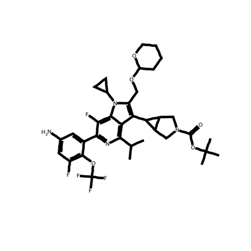 CC(C)c1nc(-c2cc(N)cc(F)c2OC(F)(F)F)c(F)c2c1c(C1C3CN(C(=O)OC(C)(C)C)CC31)c(COC1CCCCO1)n2C1CC1